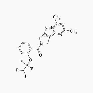 Cc1cc(C)n2nc3c(c2n1)CN(C(=O)c1ccccc1OC(F)(F)C(F)F)C3